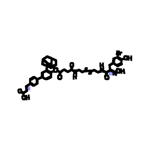 O=C(O)/C=C/c1ccc(-c2ccc(OC(=O)CCC(=O)NCCSSCCNC(=O)/C(Cc3ccc(O)c(Br)c3)=N/O)c(C34CC5CC(CC(C5)C3)C4)c2)cc1